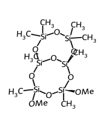 CO[Si]1(C)O[Si]2(C)O[Si](C)(C)O[Si](C)(C)O[Si](C)(O2)O[Si@@](C)(OC)O1